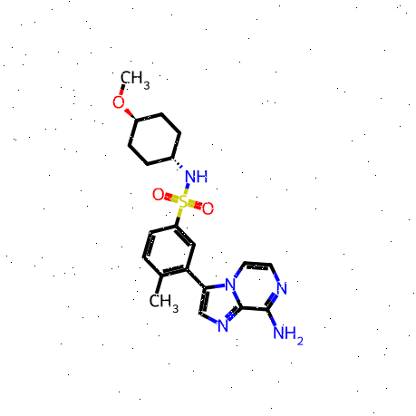 CO[C@H]1CC[C@H](NS(=O)(=O)c2ccc(C)c(-c3cnc4c(N)nccn34)c2)CC1